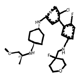 COC[C@H](C)N[C@H]1CC[C@H](Nc2cc(-c3cc(NCC4(F)CCOCC4)ccc3F)c(Cl)cn2)CC1